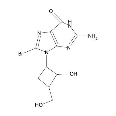 Nc1nc2c(nc(Br)n2C2CC(CO)C2O)c(=O)[nH]1